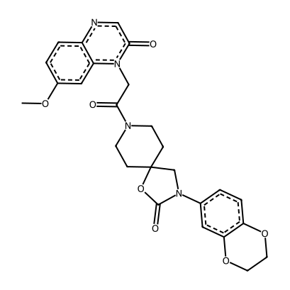 COc1ccc2ncc(=O)n(CC(=O)N3CCC4(CC3)CN(c3ccc5c(c3)OCCO5)C(=O)O4)c2c1